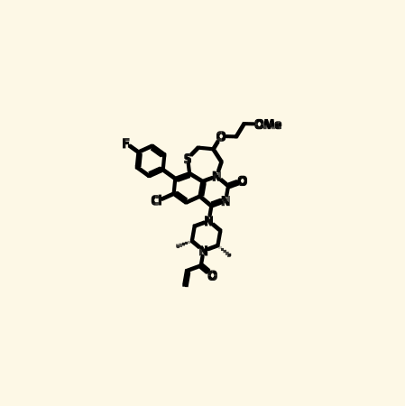 C=CC(=O)N1[C@H](C)CN(c2nc(=O)n3c4c(c(-c5ccc(F)cc5)c(Cl)cc24)SCC(OCCOC)C3)C[C@@H]1C